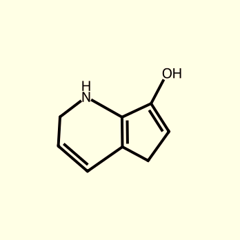 OC1=CCC2=C1NCC=C2